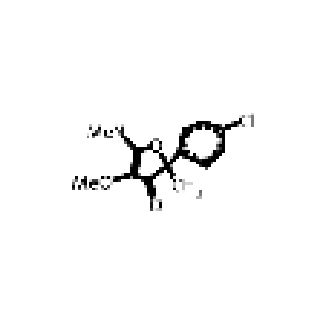 CNC1=C(OC)C(=O)C(C)(c2ccc(Cl)cc2)O1